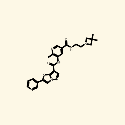 Cc1ncc(C(=O)NCCN2CC(C)(C)C2)cc1NC(=O)c1cnn2cc(-c3cccnc3)sc12